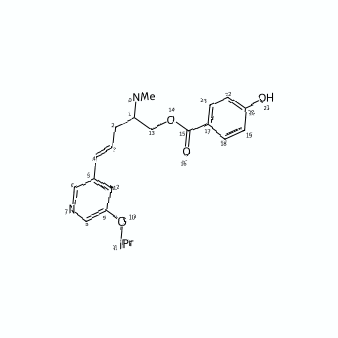 CNC(CC=Cc1cncc(OC(C)C)c1)COC(=O)c1ccc(O)cc1